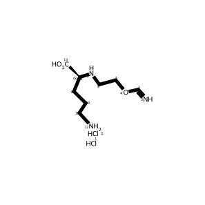 Cl.Cl.N=COCCN[C@@H](CCCN)C(=O)O